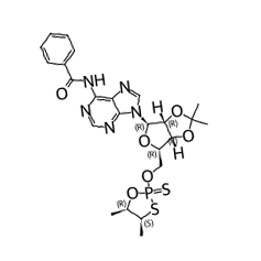 C[C@@H]1SP(=S)(OC[C@H]2O[C@@H](n3cnc4c(NC(=O)c5ccccc5)ncnc43)[C@@H]3OC(C)(C)O[C@@H]32)O[C@@H]1C